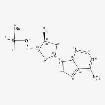 CC(C)(C)[Si](C)(C)OC[C@H]1O[C@@H](c2ccc3c(N)ncnn23)C[C@@H]1O